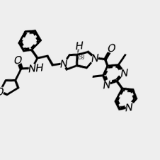 Cc1nc(-c2ccncc2)nc(C)c1C(=O)N1CC2CN(CCC(NC(=O)C3CCOC3)c3ccccc3)C[C@H]2C1